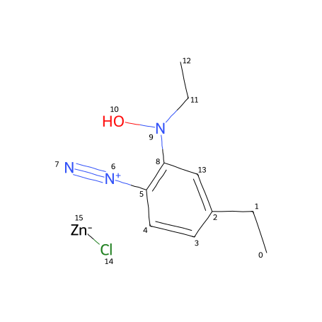 CCc1ccc([N+]#N)c(N(O)CC)c1.[Cl][Zn-]